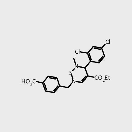 CCOC(=O)C1=CN(Cc2ccc(C(=O)O)cc2)SN(C)C1c1ccc(Cl)cc1Cl